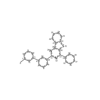 Cc1cccc(-c2cccc(-c3nc(-c4ccccc4)c4sc5ccccc5c4n3)c2)c1